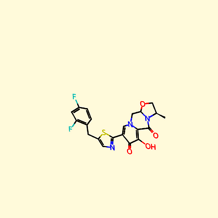 C[C@@H]1COC2Cn3cc(-c4ncc(Cc5ccc(F)cc5F)s4)c(=O)c(O)c3C(=O)N21